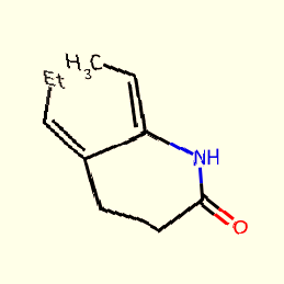 C/C=C1/NC(=O)CC/C1=C/CC